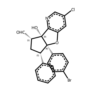 O=C[C@H]1C[C@@H](c2ccccc2)[C@]2(c3ccc(Br)cc3)Oc3cc(Cl)cnc3[C@]12O